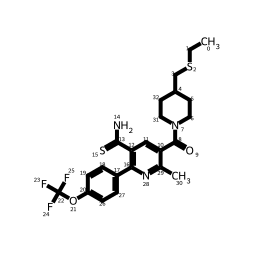 CCSCC1CCN(C(=O)c2cc(C(N)=S)c(-c3ccc(OC(F)(F)F)cc3)nc2C)CC1